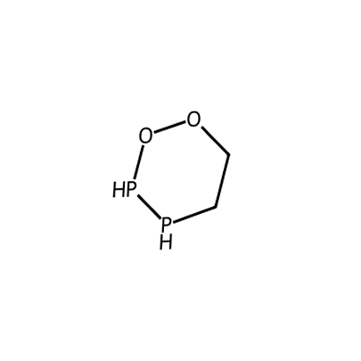 C1CPPOO1